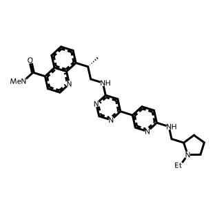 CCN1CCCC1CNc1ccc(-c2cc(NC[C@@H](C)c3cccc4c(C(=O)NC)ccnc34)ncn2)cn1